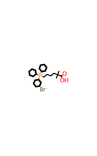 CC(C)(CCCC[P+](c1ccccc1)(c1ccccc1)c1ccccc1)C(=O)O.[Br-]